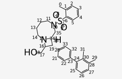 Cc1ccccc1S(=O)(=O)N1CCCCN2C(CO)[C@@H](c3ccc(-c4cccc(C)c4C)cc3)[C@@H]2C1